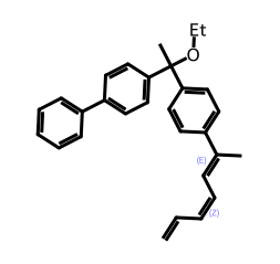 C=C/C=C\C=C(/C)c1ccc(C(C)(OCC)c2ccc(-c3ccccc3)cc2)cc1